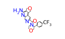 Nc1nc2cnc(C(=O)N3CCOCC3c3ccc(C(F)(F)F)cc3)cc2c2c1COC2